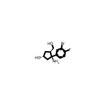 N[C@@]1(c2ccc(F)c(Br)c2)C[C@H](O)C[C@H]1CO